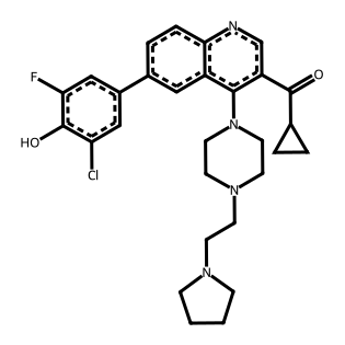 O=C(c1cnc2ccc(-c3cc(F)c(O)c(Cl)c3)cc2c1N1CCN(CCN2CCCC2)CC1)C1CC1